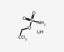 NS(=O)(=O)OCC(Cl)(Cl)Cl.[LiH]